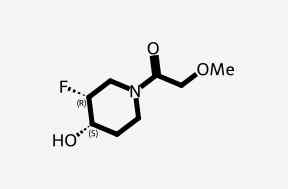 COCC(=O)N1CC[C@H](O)[C@H](F)C1